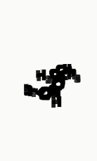 CC(C)(C)C1CCc2[nH]c3ccc(Br)cc3c2C1